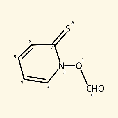 O=COn1ccccc1=S